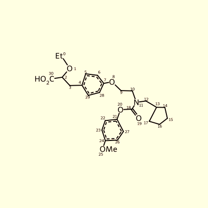 CCOC(Cc1ccc(OCCN(CC2CCCC2)C(=O)Oc2ccc(OC)cc2)cc1)C(=O)O